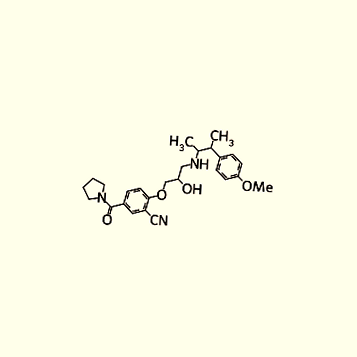 COc1ccc(C(C)C(C)NCC(O)COc2ccc(C(=O)N3CCCC3)cc2C#N)cc1